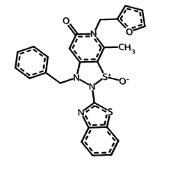 Cc1c2c(cc(=O)n1Cc1ccco1)N(Cc1ccccc1)N(c1nc3ccccc3s1)[S+]2[O-]